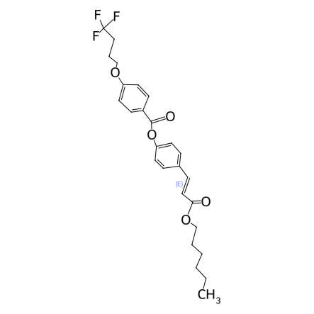 CCCCCCOC(=O)/C=C/c1ccc(OC(=O)c2ccc(OCCCC(F)(F)F)cc2)cc1